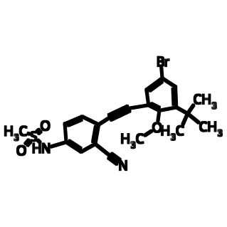 COc1c(C#Cc2ccc(NS(C)(=O)=O)cc2C#N)cc(Br)cc1C(C)(C)C